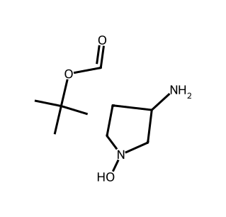 CC(C)(C)OC=O.NC1CCN(O)C1